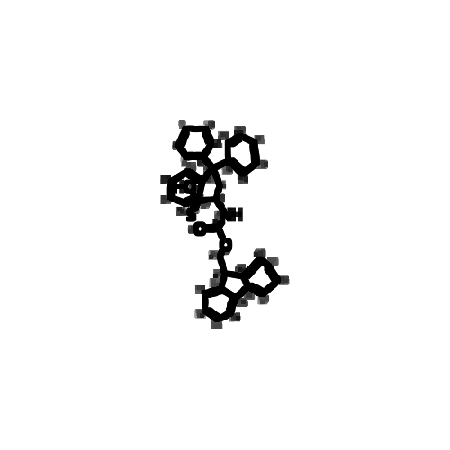 O=C(NC(CC(c1ccccc1)(c1ccccc1)c1ccccc1)C(O)=S)OCC1c2ccccc2-c2ccccc21